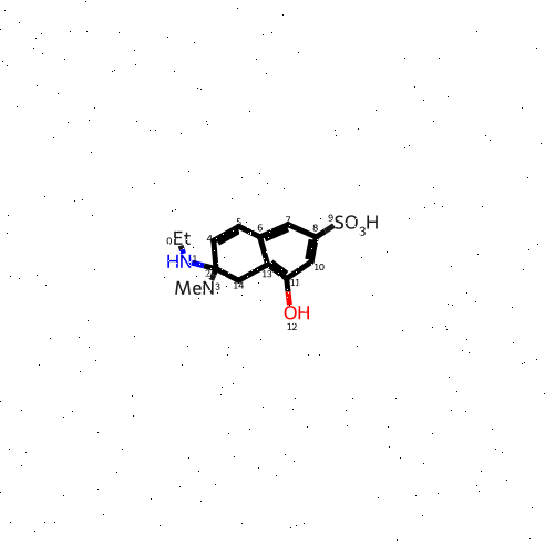 CCNC1(NC)C=Cc2cc(S(=O)(=O)O)cc(O)c2C1